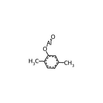 Cc1ccc(C)c([O][Al]=[O])c1